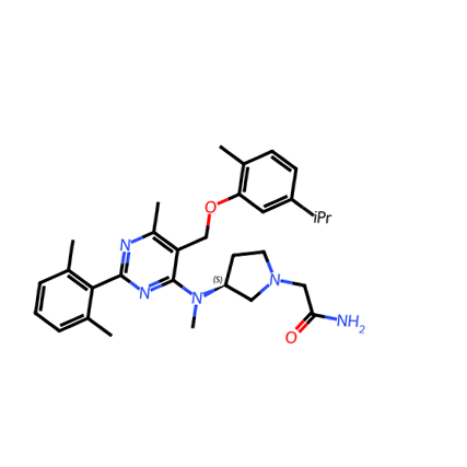 Cc1ccc(C(C)C)cc1OCc1c(C)nc(-c2c(C)cccc2C)nc1N(C)[C@H]1CCN(CC(N)=O)C1